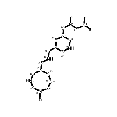 CN(C)SN(C)SN1SNSN(SNSN2SNSN(C)SNS2)S1